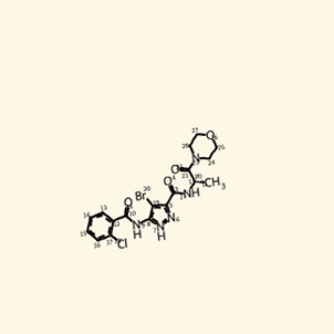 C[C@@H](NC(=O)c1n[nH]c(NC(=O)c2ccccc2Cl)c1Br)C(=O)N1CCOCC1